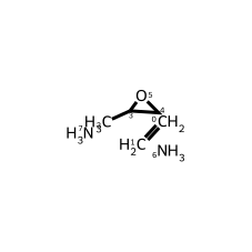 C=C.CC1CO1.N.N